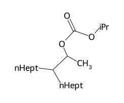 CCCCCCCC(CCCCCCC)C(C)OC(=O)OC(C)C